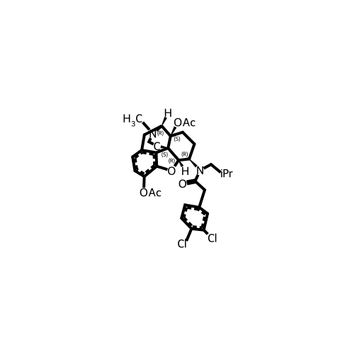 CC(=O)Oc1ccc2c3c1O[C@H]1[C@H](N(CC(C)C)C(=O)Cc4ccc(Cl)c(Cl)c4)CC[C@@]4(OC(C)=O)[C@@H](C2)N(C)CC[C@]314